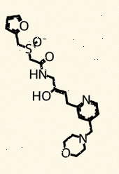 O=C(C[S+]([O-])Cc1ccco1)NCC(O)=CCc1cc(CN2CCOCC2)ccn1